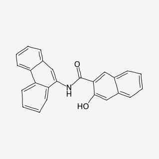 O=C(Nc1cc2ccccc2c2ccccc12)c1cc2ccccc2cc1O